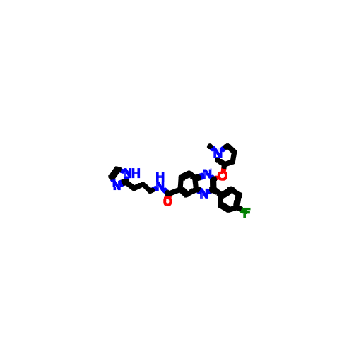 CN1CCCC(Oc2nc3ccc(C(=O)NCCCc4ncc[nH]4)cc3nc2-c2ccc(F)cc2)C1